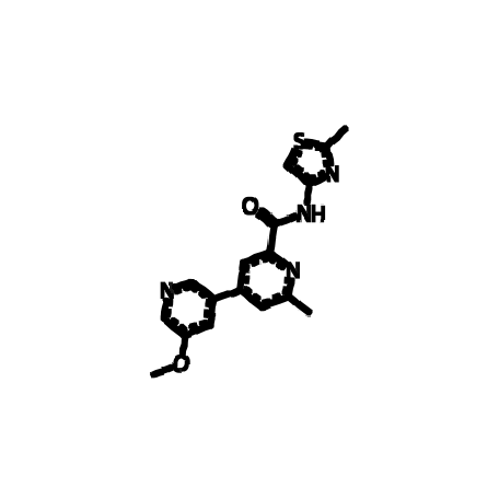 COc1cncc(-c2cc(C)nc(C(=O)Nc3csc(C)n3)c2)c1